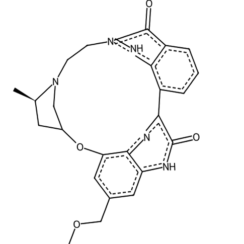 COCc1cc2c3nc(c(=O)[nH]c3c1)-c1cccc3c(=O)n([nH]c13)CCN1CC(C[C@H]1C)O2